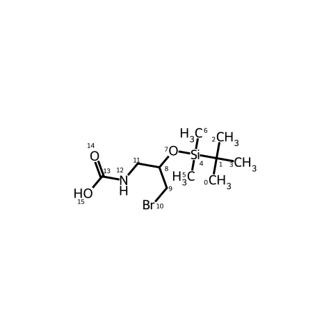 CC(C)(C)[Si](C)(C)OC(CBr)CNC(=O)O